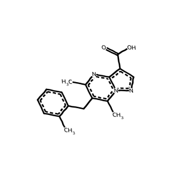 Cc1ccccc1Cc1c(C)nc2c(C(=O)O)cnn2c1C